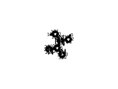 Cc1cccc(-c2nc(-c3cccc(C)c3)nc(-c3cc(-c4ccccn4)cc(-c4ccccn4)c3)n2)c1